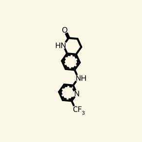 O=C1CCc2cc(Nc3cccc(C(F)(F)F)n3)ccc2N1